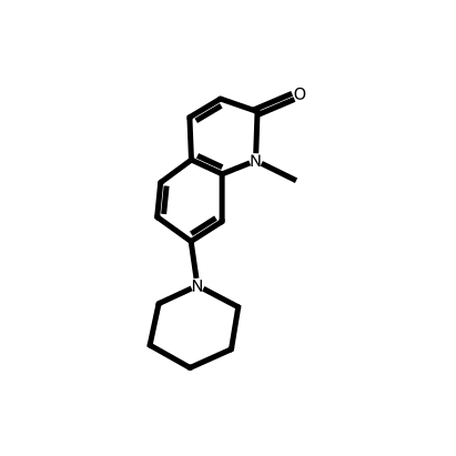 Cn1c(=O)ccc2ccc(N3CCCCC3)cc21